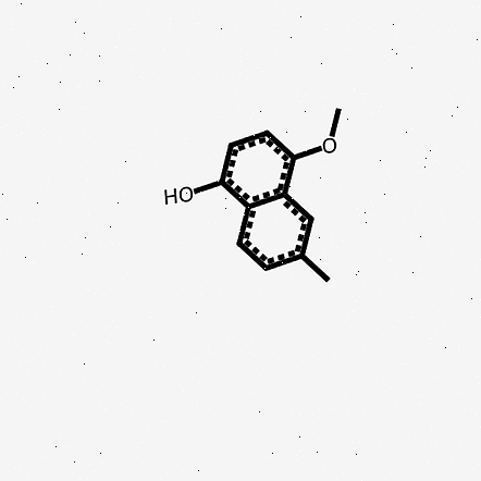 COc1ccc(O)c2ccc(C)cc12